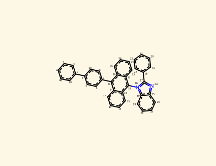 c1ccc(-c2ccc(-c3c4ccccc4c(-n4c(-c5ccccc5)nc5ccccc54)c4ccccc34)cc2)cc1